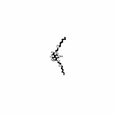 CCCCCCOCCOC(=O)C(C)C(C(=O)O)=C(C(=O)O)C(C)C(=O)OCCOCCCCCC